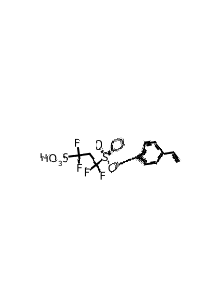 C=Cc1ccc(OS(=O)(=O)C(F)(F)CC(F)(F)S(=O)(=O)O)cc1